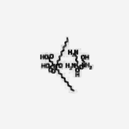 CCCCCCCCCCCC(=O)N(C(=O)CCCCCCCCCCC)C(CCC(=O)O)C(=O)O.NCCCCC(N)C(=O)O.NCCO